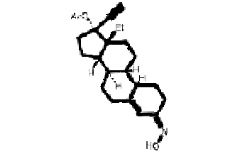 C#C[C@]1(OC(C)=O)CC[C@H]2[C@@H]3CCC4=CC(=NO)CC[C@@H]4[C@H]3CCC21CC